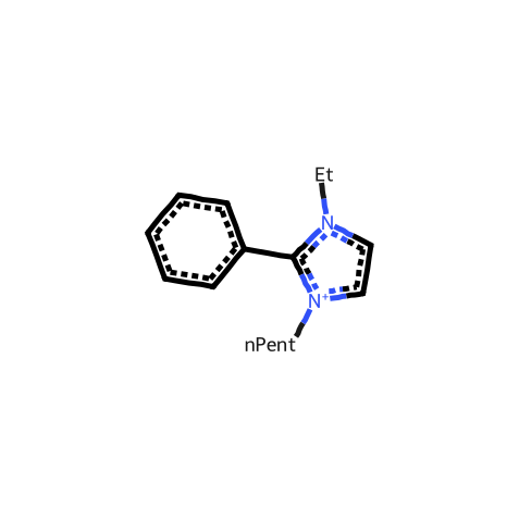 CCCCC[n+]1ccn(CC)c1-c1ccccc1